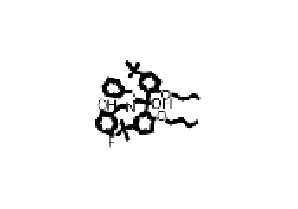 CCCCOc1ccc(C(C)(C)C)cc1C(O)(c1cc(C(C)(C)C)ccc1OCCCC)[C@@H](Cc1ccccc1)N=Cc1cc(F)ccc1O